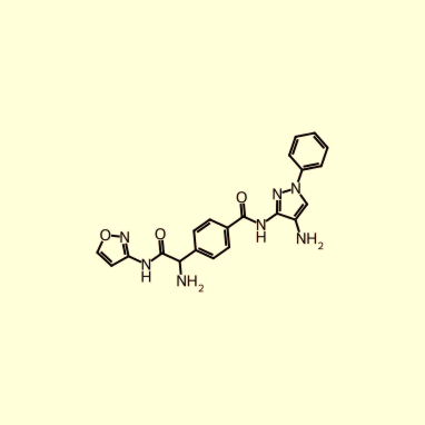 Nc1cn(-c2ccccc2)nc1NC(=O)c1ccc(C(N)C(=O)Nc2ccon2)cc1